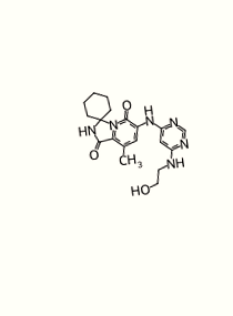 Cc1cc(Nc2cc(NCCO)ncn2)c(=O)n2c1C(=O)NC21CCCCC1